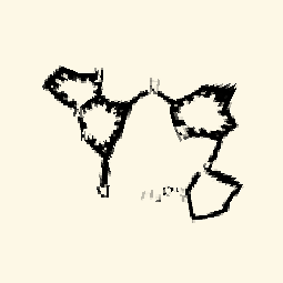 C[C@H]1CCCN1c1cccc(Nc2cc(Cl)nn3ccnc23)n1